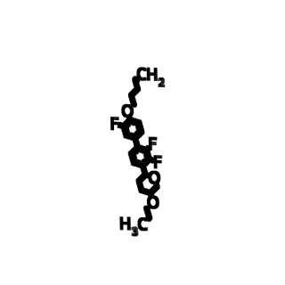 C=CCCCOc1ccc(-c2ccc(C3CCC(OCCC)CO3)c(F)c2F)cc1F